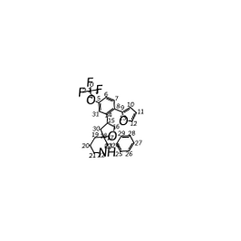 FC(F)(F)Oc1ccc(-c2ccco2)c(C2COC3(CCCN[C@H]3c3ccccc3)C2)c1